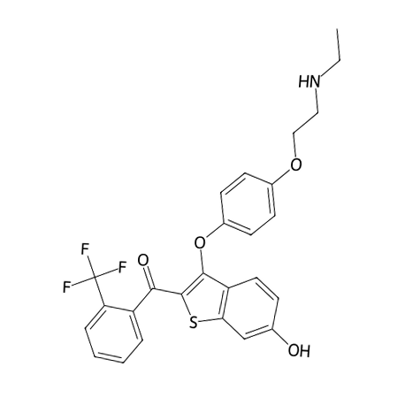 CCNCCOc1ccc(Oc2c(C(=O)c3ccccc3C(F)(F)F)sc3cc(O)ccc23)cc1